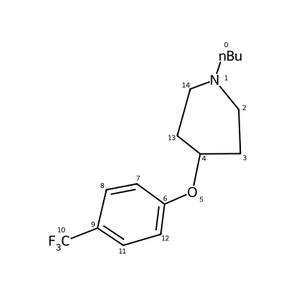 CCCCN1CCC(Oc2ccc(C(F)(F)F)cc2)CC1